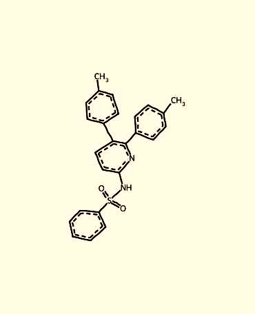 Cc1ccc(-c2ccc(NS(=O)(=O)c3ccccc3)nc2-c2ccc(C)cc2)cc1